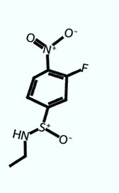 CCN[S+]([O-])c1ccc([N+](=O)[O-])c(F)c1